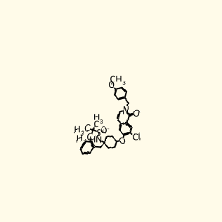 COc1ccc(Cn2ccc3cc(OC4CCC(Cc5ccccc5)(N[S+]([O-])C(C)(C)C)CC4)c(Cl)cc3c2=O)cc1